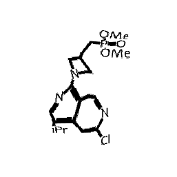 COP(=O)(CC1CN(c2ncc(C(C)C)c3cc(Cl)ncc23)C1)OC